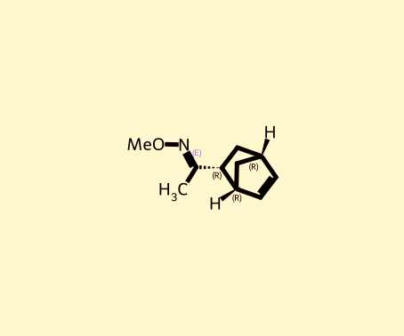 CO/N=C(\C)[C@@H]1C[C@@H]2C=C[C@H]1C2